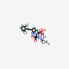 CCCNc1c(N[C@@](C)(Cc2ccc(C#Cc3c(Cl)cccc3Cl)cc2)C(=O)O)c(=O)c1=O